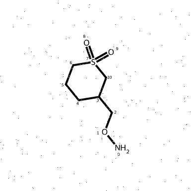 NOCC1CCCS(=O)(=O)C1